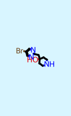 OC1(Cc2ncc(Br)cn2)CCNCC1